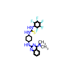 CN(C)c1nc(NC2CCC(NC(=S)Nc3c(F)c(F)c(F)c(F)c3F)CC2)nc2ccccc12